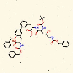 COC(=O)[C@H](Cc1cccc(-c2ccc(OCc3ccccc3)c(C[C@H](NC(=O)OCc3ccccc3)C(=O)O)c2)c1)NC(=O)C(CC(O)CNC(=O)OCc1ccccc1)NC(=O)OC(C)(C)C